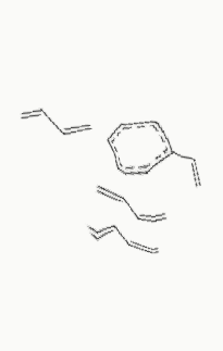 C=CC=C.C=CC=C.C=CC=C.C=Cc1ccccc1